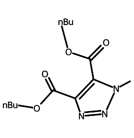 CCCCOC(=O)c1nnn(C)c1C(=O)OCCCC